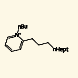 CCCCCCCCCCc1cccc[n+]1CCCC